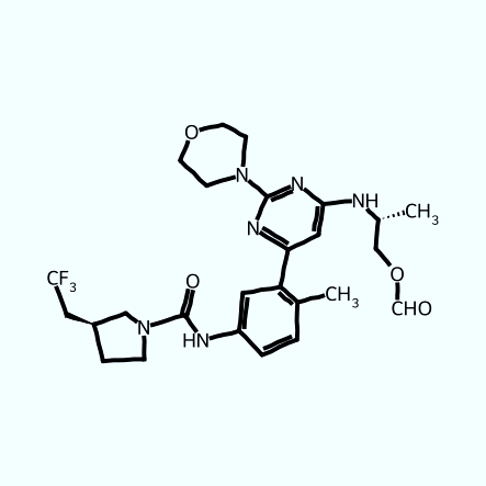 Cc1ccc(NC(=O)N2CC[C@@H](CC(F)(F)F)C2)cc1-c1cc(N[C@H](C)COC=O)nc(N2CCOCC2)n1